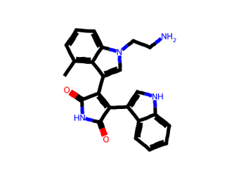 Cc1cccc2c1c(C1=C(c3c[nH]c4ccccc34)C(=O)NC1=O)cn2CCN